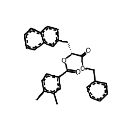 Cc1ccc(C(=O)O[C@H](Cc2ccc3ccccc3c2)C(=O)OCc2ccccc2)cc1C